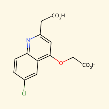 O=C(O)COc1cc(CC(=O)O)nc2ccc(Cl)cc12